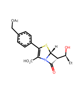 CC[C@H](O)[C@@H]1C(=O)N2C(C(=O)O)=C(c3ccc(COC(C)=O)cc3)S[C@H]12